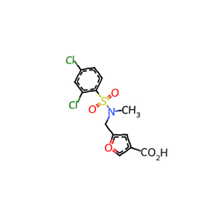 CN(Cc1cc(C(=O)O)co1)S(=O)(=O)c1ccc(Cl)cc1Cl